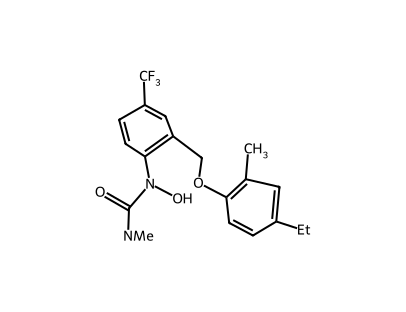 CCc1ccc(OCc2cc(C(F)(F)F)ccc2N(O)C(=O)NC)c(C)c1